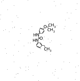 CCc1cccc(NC(=O)Nc2ccc(OC(C)C)cc2)c1